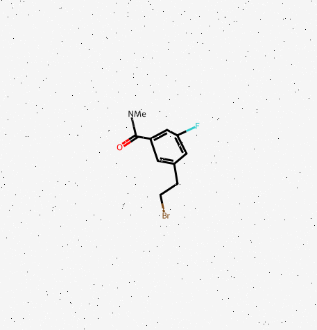 CNC(=O)c1cc(F)cc(CCBr)c1